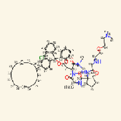 CC[C@H](C)[C@@H](C(=O)N(C)[C@@H](CC(=O)OC(c1ccccc1)(c1ccc(C2CCCCCCCCCCCCCC2)cc1)c1ccccc1Cl)C(=O)N(C)C)N(C)C(=O)C1(NC(=O)CNCCOCCN(C)C)CCCC1